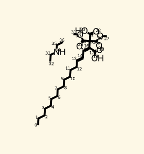 CCCCCCCCCCCCCC=CC=C(C(=O)O)C(C(=O)O)(C(=O)OC)C(=O)OC.CCNCC